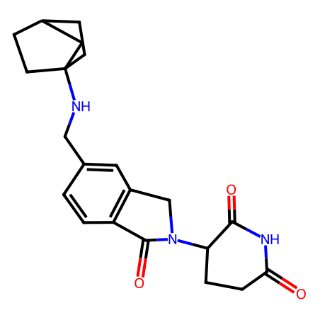 O=C1CCC(N2Cc3cc(CNC45CCC(CC4)C5)ccc3C2=O)C(=O)N1